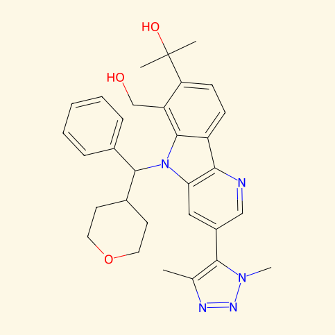 Cc1nnn(C)c1-c1cnc2c3ccc(C(C)(C)O)c(CO)c3n(C(c3ccccc3)C3CCOCC3)c2c1